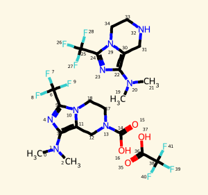 CN(C)c1nc(C(F)(F)F)n2c1CN(C(=O)O)CC2.CN(C)c1nc(C(F)(F)F)n2c1CNCC2.O=C(O)C(F)(F)F